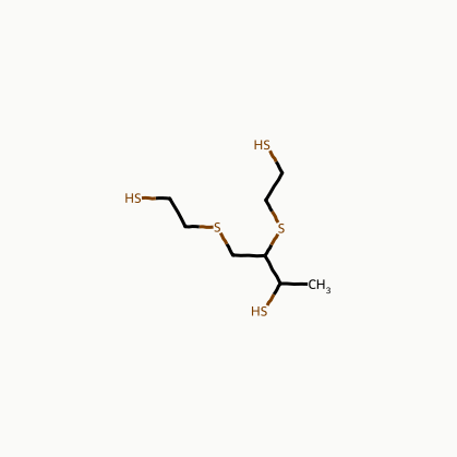 CC(S)C(CSCCS)SCCS